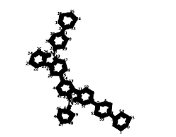 c1ccc(-c2ccc(-c3ccc4c5cc(-c6ccc7c(c6)c6ccccc6n7-c6ccc(-c7ccccc7)cc6)ccc5n(-c5ccccc5)c4c3)cc2)cc1